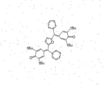 CC(C)(C)C1=CC(=C(c2ccccc2)c2ccc(C(=C3C=C(C(C)(C)C)C(=O)C(C(C)(C)C)=C3)c3ccccc3)o2)C=C(C(C)(C)C)C1=O